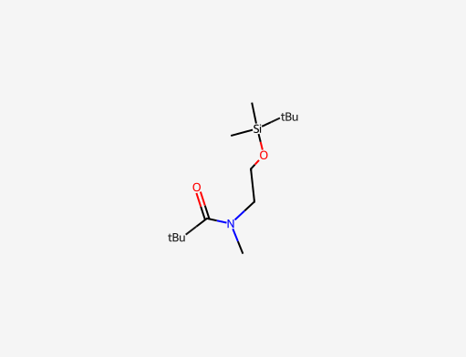 CN(CCO[Si](C)(C)C(C)(C)C)C(=O)C(C)(C)C